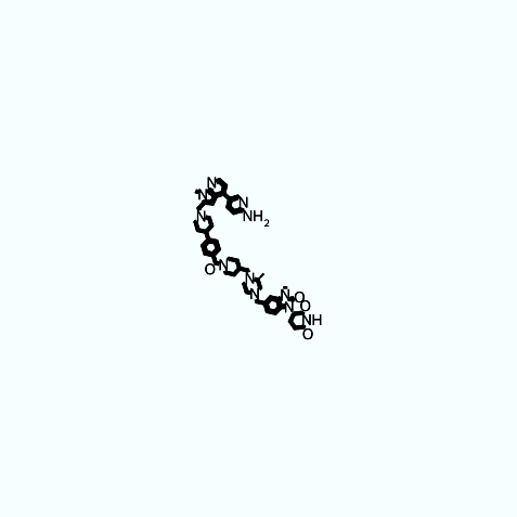 C[C@H]1CN(Cc2ccc3c(c2)n(C)c(=O)n3C2CCC(=O)NC2=O)CCN1CC1CCN(C(=O)c2ccc(C3CCN(Cc4cc5c(-c6ccc(N)nc6)ccnc5n4C)CC3)cc2)CC1